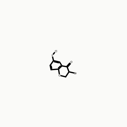 O=C1c2cc(SCl)ccc2OCC1Br